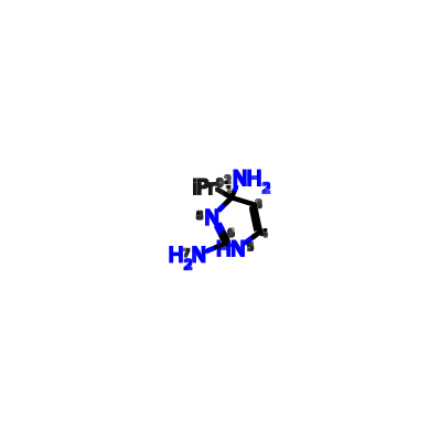 CC(C)C1(N)C=CNC(N)=N1